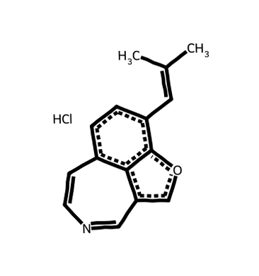 CC(C)=Cc1ccc2c3c(coc13)C=NC=C2.Cl